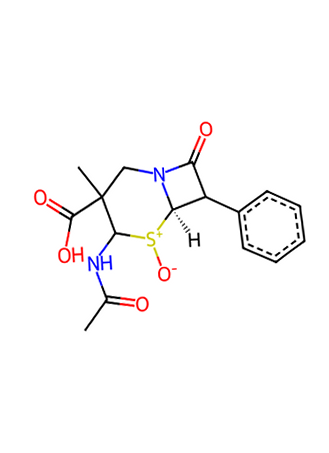 CC(=O)NC1[S+]([O-])[C@@H]2C(c3ccccc3)C(=O)N2CC1(C)C(=O)O